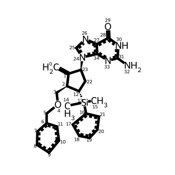 C=C1[C@H](COCc2ccccc2)[C@@H]([Si](C)(C)c2ccccc2)C[C@@H]1n1cnc2c(=O)[nH]c(N)nc21